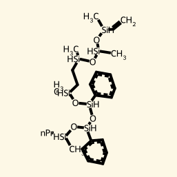 C=C[SiH](C)O[SiH](C)O[SiH](C)CC[SiH](C)O[SiH](O[SiH](O[SiH](C)CCC)c1ccccc1)c1ccccc1